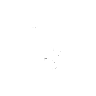 CC(=O)N1C[C@@H]2C[C@H]1CN2Cc1ccc(O)cc1